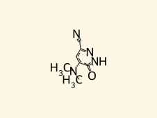 CN(C)c1cc(C#N)n[nH]c1=O